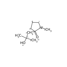 CC(C)(C)O.CN1CCCC1=O